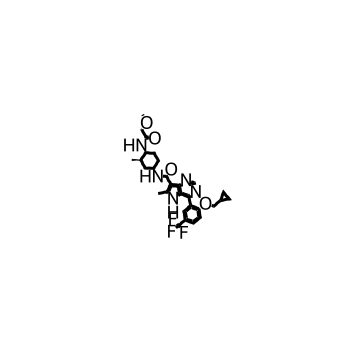 COCC(=O)N[C@H]1CC[C@@H](NC(=O)c2c(C)[nH]c3c(-c4cc(C(F)(F)F)ccc4OCC4CC4)ncnc23)C[C@H]1C